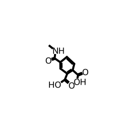 CNC(=O)c1ccc(C(=O)O)c(C(=O)O)c1